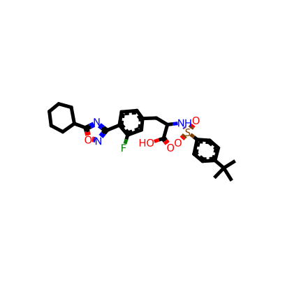 CC(C)(C)c1ccc(S(=O)(=O)NC(Cc2ccc(-c3noc(C4CCCCC4)n3)c(F)c2)C(=O)O)cc1